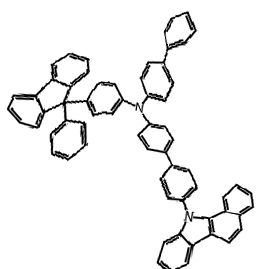 c1ccc(-c2ccc(N(c3ccc(-c4ccc(-n5c6ccccc6c6ccc7ccccc7c65)cc4)cc3)c3ccc(C4(c5ccccc5)c5ccccc5-c5ccccc54)cc3)cc2)cc1